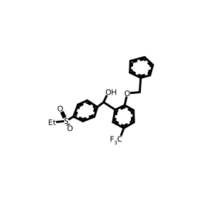 CCS(=O)(=O)c1ccc(C(O)c2cc(C(F)(F)F)ccc2OCc2ccccc2)cc1